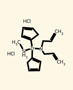 C=CC[N](CC=C)[Zr]([SiH2]C)([C]1=CC=CC1)[C]1=CC=CC1.Cl.Cl